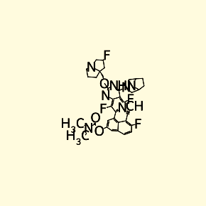 C#Cc1c(F)ccc2cc(OC(=O)N(C)C)cc(-c3nc(F)c4c(N5CC6CCC(C5)N6)nc(OC[C@@]56CCCN5C[C@H](F)C6)nc4c3F)c12